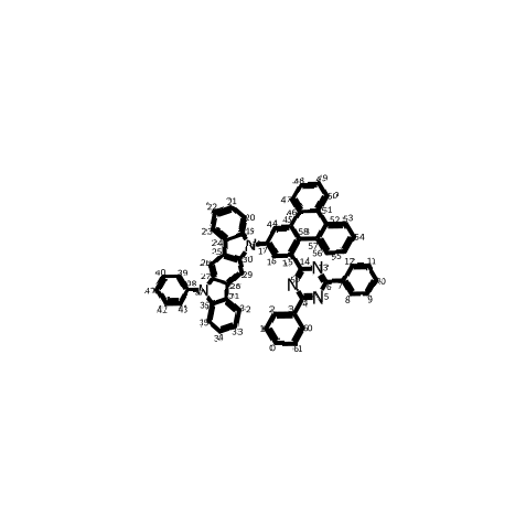 c1ccc(-c2nc(-c3ccccc3)nc(-c3cc(-n4c5ccccc5c5cc6c(cc54)c4ccccc4n6-c4ccccc4)cc4c5ccccc5c5ccccc5c34)n2)cc1